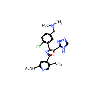 CC(=O)Nc1cc(-c2nc(-c3cc(CN(C)C)ccc3Cl)c(-c3nnc[nH]3)o2)c(C)cn1